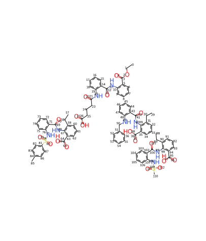 CCOC(=O)c1ccccc1NC(=O)c1ccccc1NC(=O)CCCC(=O)O.CCc1cccc(C(=O)O)c1NC(=O)c1ccccc1NCc1ccccc1.CCc1cccc(C(=O)O)c1NC(=O)c1ccccc1NS(=O)(=O)c1ccc(C)cc1.CCc1cccc(C(=O)O)c1NC(=O)c1ccccc1NS(C)(=O)=O